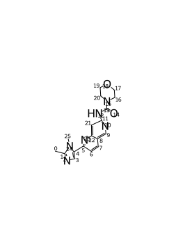 Cc1ncc(-c2ccc3cnc(NC(=O)N4CCOCC4)cc3n2)n1C